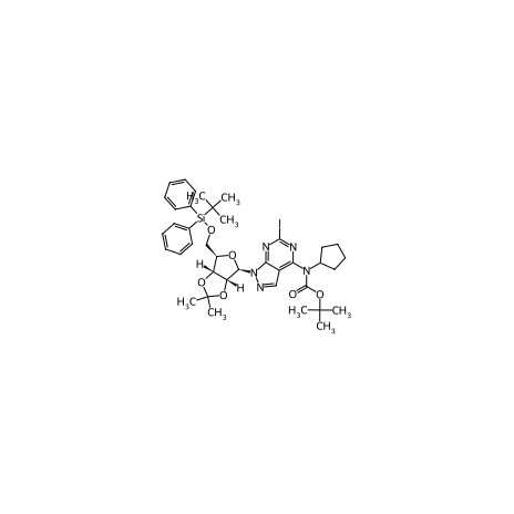 CC(C)(C)OC(=O)N(c1nc(I)nc2c1cnn2[C@@H]1O[C@H](CO[Si](c2ccccc2)(c2ccccc2)C(C)(C)C)[C@H]2OC(C)(C)O[C@H]21)C1CCCC1